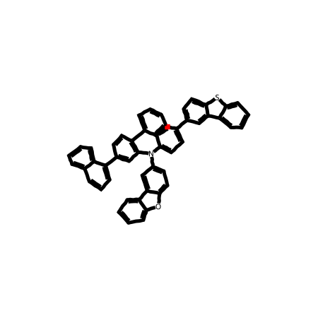 c1ccc(-c2ccc(-c3cccc4ccccc34)cc2N(c2ccc(-c3ccc4sc5ccccc5c4c3)cc2)c2ccc3oc4ccccc4c3c2)cc1